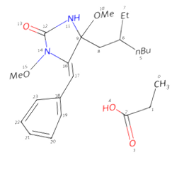 CCC(=O)O.CCCCC(CC)CC1(OC)NC(=O)N(OC)C1=Cc1ccccc1